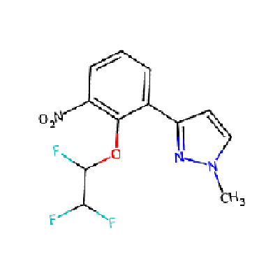 Cn1ccc(-c2cccc([N+](=O)[O-])c2OC(F)C(F)F)n1